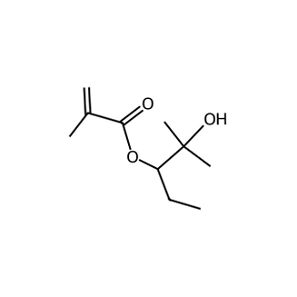 C=C(C)C(=O)OC(CC)C(C)(C)O